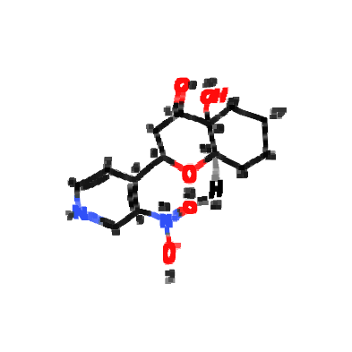 O=C1CC(c2ccncc2[N+](=O)[O-])O[C@@H]2CCCCC12O